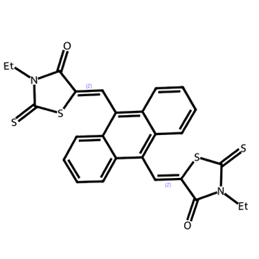 CCN1C(=O)/C(=C/c2c3ccccc3c(/C=C3\SC(=S)N(CC)C3=O)c3ccccc23)SC1=S